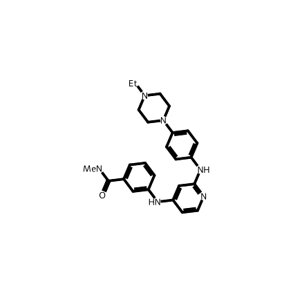 CCN1CCN(c2ccc(Nc3cc(Nc4cccc(C(=O)NC)c4)ccn3)cc2)CC1